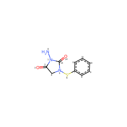 NN1C(=O)CN(Sc2ccccc2)C1=O